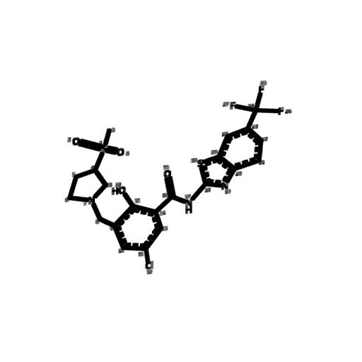 CS(=O)(=O)C1CCN(Cc2cc(Cl)cc(C(=O)Nc3nc4ccc(C(F)(F)F)cc4s3)c2O)C1